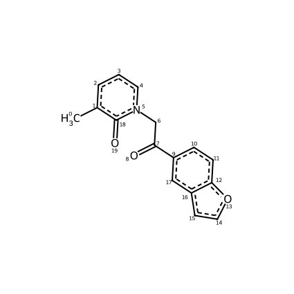 Cc1cccn(CC(=O)c2ccc3occc3c2)c1=O